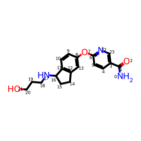 NC(=O)c1ccc(Oc2ccc3c(c2)CCC3NCCCO)nc1